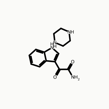 C1CNCCN1.NC(=O)C(=O)c1c[nH]c2ccccc12